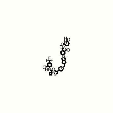 O=C1CCC(N2C(=O)c3ccc(N4CC5CC(CN6CCC(c7cnn(C8(C(=O)Nc9ccc(C(F)(F)F)cc9Cl)CCC8)c7)CC6)CC5C4)cc3C2=O)C(=O)N1